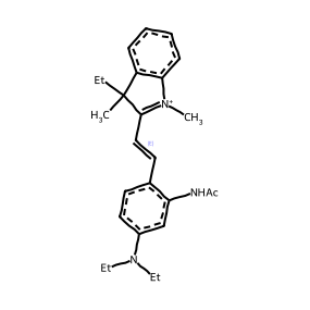 CCN(CC)c1ccc(/C=C/C2=[N+](C)c3ccccc3C2(C)CC)c(NC(C)=O)c1